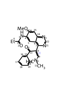 CCC(=O)Nc1cc2c(/C(=C/N(C)C)C(=O)c3ccccc3)ncnc2cc1OC